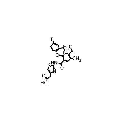 CCc1c(C)cc(C(=O)Nc2nc(CC(=O)O)cs2)c(=O)n1Cc1cccc(F)c1